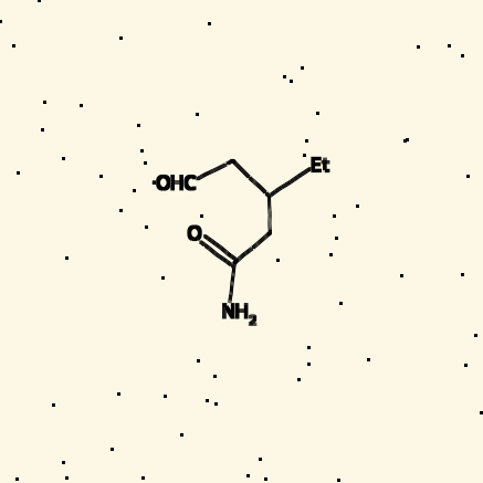 CCC(C[C]=O)CC(N)=O